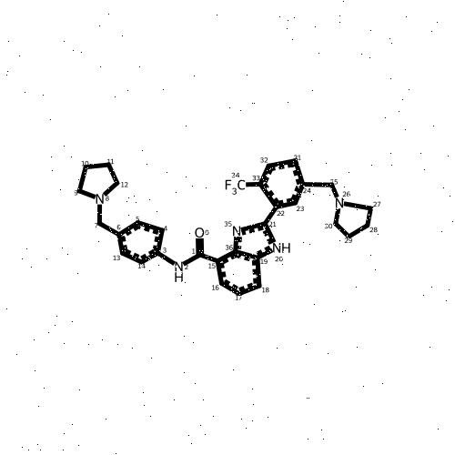 O=C(Nc1ccc(CN2CCCC2)cc1)c1cccc2[nH]c(-c3cc(CN4CCCC4)ccc3C(F)(F)F)nc12